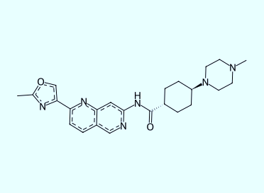 Cc1nc(-c2ccc3cnc(NC(=O)[C@H]4CC[C@H](N5CCN(C)CC5)CC4)cc3n2)co1